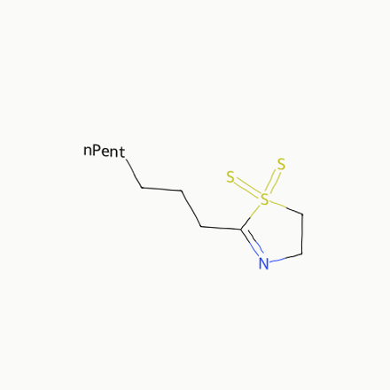 CCCCCCCCC1=NCCS1(=S)=S